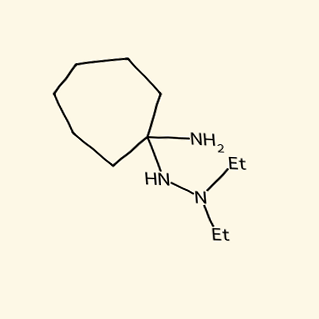 CCN(CC)NC1(N)CCCCCC1